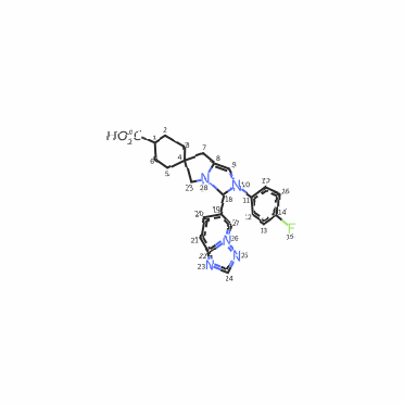 O=C(O)C1CCC2(CC1)CC1=CN(c3ccc(F)cc3)C(c3ccc4ncnn4c3)N1C2